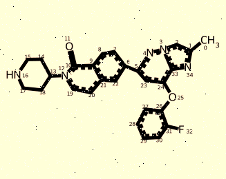 Cc1cn2nc(-c3ccc4c(=O)n(C5CCNCC5)ccc4c3)cc(Oc3ccccc3F)c2n1